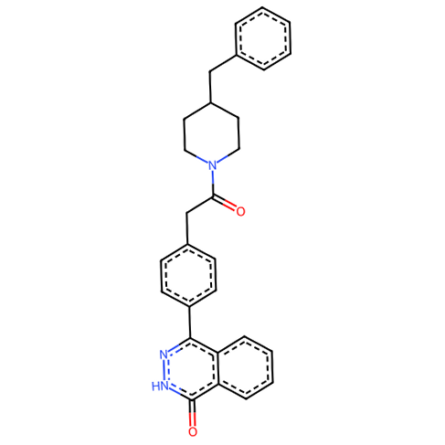 O=C(Cc1ccc(-c2n[nH]c(=O)c3ccccc23)cc1)N1CCC(Cc2ccccc2)CC1